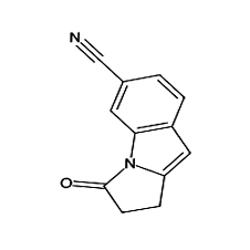 N#Cc1ccc2cc3n(c2c1)C(=O)CC3